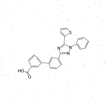 O=C(O)c1cccc(-c2cccc(-c3nc(-c4cccs4)n(-c4ccccc4)n3)c2)c1